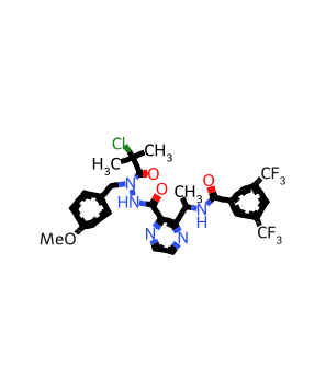 COc1ccc(CN(NC(=O)c2nccnc2C(C)NC(=O)c2cc(C(F)(F)F)cc(C(F)(F)F)c2)C(=O)C(C)(C)Cl)cc1